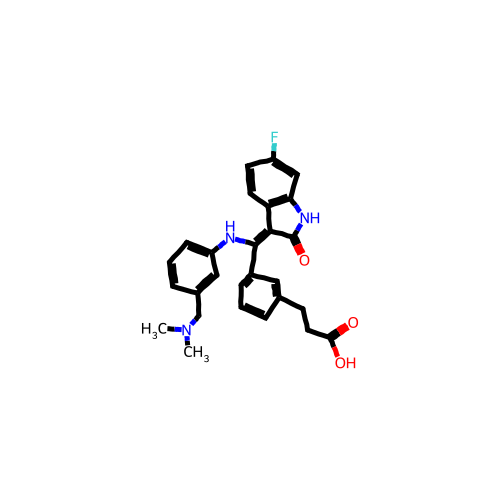 CN(C)Cc1cccc(NC(=C2C(=O)Nc3cc(F)ccc32)c2cccc(CCC(=O)O)c2)c1